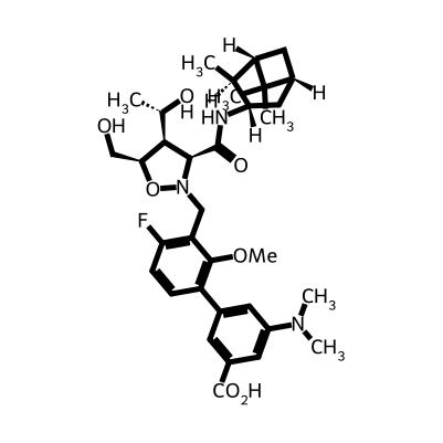 COc1c(-c2cc(C(=O)O)cc(N(C)C)c2)ccc(F)c1CN1O[C@@H](CO)[C@@H]([C@H](C)O)[C@H]1C(=O)N[C@H]1C[C@H]2C[C@@H]([C@@H]1C)C2(C)C